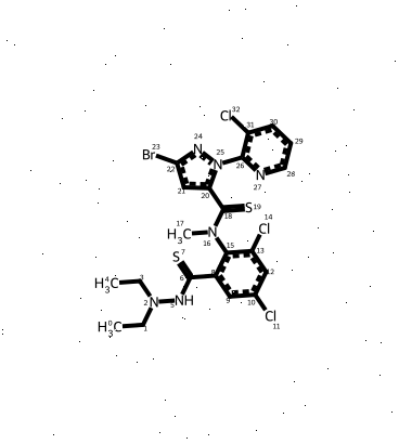 CCN(CC)NC(=S)c1cc(Cl)cc(Cl)c1N(C)C(=S)c1cc(Br)nn1-c1ncccc1Cl